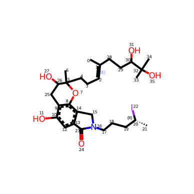 C/C(=C\CCC1(C)Oc2c(c(O)cc3c2CN(CCC[C@@H](C)I)C3=O)CC1O)CCC(O)C(C)(C)O